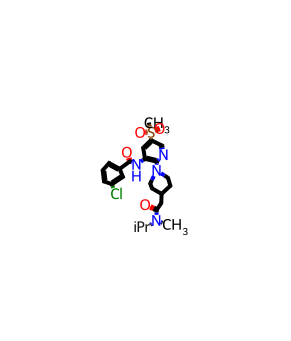 CC(C)N(C)C(=O)CC1CCN(c2ncc(S(C)(=O)=O)cc2NC(=O)c2cccc(Cl)c2)CC1